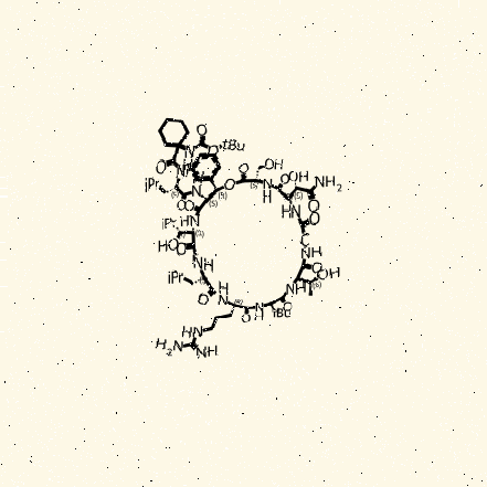 CC[C@H](C)C1NC(=O)[C@@H](CCCNC(=N)N)NC(=O)[C@H](CC(C)C)NC(=O)[C@H]([C@H](O)C(C)C)NC(=O)[C@@H](NC(=O)[C@H](CC(C)C)NC(=O)C2(NC(=O)OC(C)(C)C)CCCCC2)[C@@H](c2ccccc2)OC(=O)[C@H](CO)NC(=O)[C@H]([C@H](O)C(N)=O)NC(=O)CNC(=O)C([C@H](C)O)NC1=O